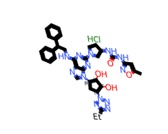 CCc1nnn([C@H]2C[C@@H](n3cnc4c(NCC(c5ccccc5)c5ccccc5)nc(N5CCC(NC(=O)Nc6cc(C)on6)C5)nc43)[C@H](O)[C@@H]2O)n1.Cl